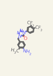 Cc1cc(Cn2nnn(-c3ccc(C(F)(F)F)c(C(F)(F)F)c3)c2=O)ccc1N